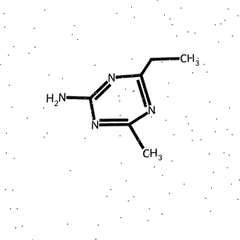 CCc1nc(C)nc(N)n1